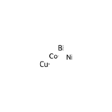 [B].[Co].[Cu].[Ni]